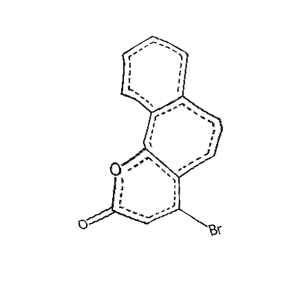 O=c1cc(Br)c2ccc3ccccc3c2o1